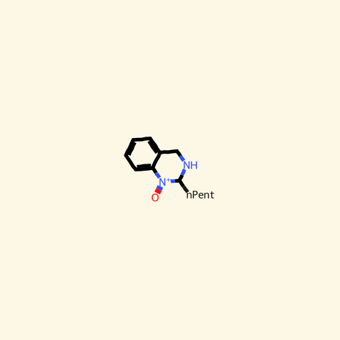 CCCCCC1NCc2ccccc2[N+]1=O